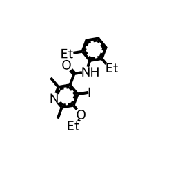 CCOc1c(C)nc(C)c(C(=O)Nc2c(CC)cccc2CC)c1I